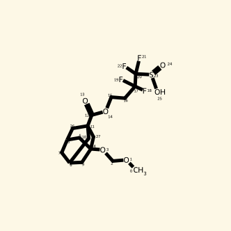 COCOC12CC3CC(C1)CC(C(=O)OCCC(F)(F)C(F)(F)S(=O)O)(C3)C2